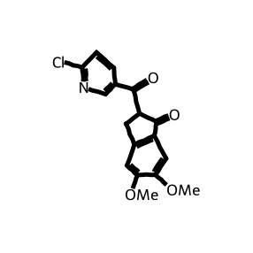 COc1cc2c(cc1OC)C(=O)C(C(=O)c1ccc(Cl)nc1)C2